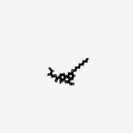 CCCCCCCCOc1ccc(C(=O)O)c(-c2ccc(C(=O)OC[C@@H](C)CC)c(F)c2)c1